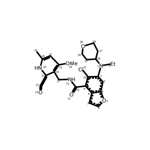 CCN(c1cc2occc2c(C(=O)NCC2=C(OC)C=C(C)NC2=C=O)c1Cl)C1CCOCC1